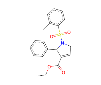 CCOC(=O)C1=CCN(S(=O)(=O)c2ccccc2C)C1c1ccccc1